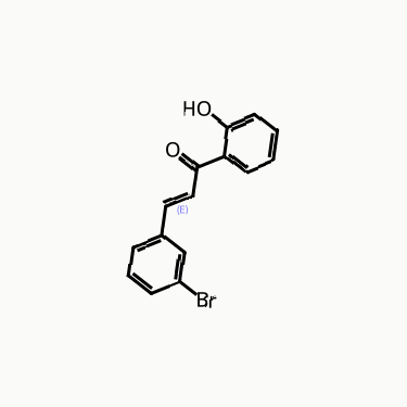 O=C(/C=C/c1cccc(Br)c1)c1ccccc1O